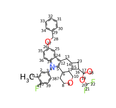 Cc1cc(-n2c(C3CCOCC3)c(CC3CC(C(=O)OC(F)F)C3)c3cc(OCc4ccccc4)ccc32)ccc1F